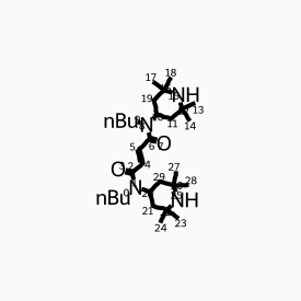 CCCCN(C(=O)C=CC(=O)N(CCCC)C1CC(C)(C)NC(C)(C)C1)C1CC(C)(C)NC(C)(C)C1